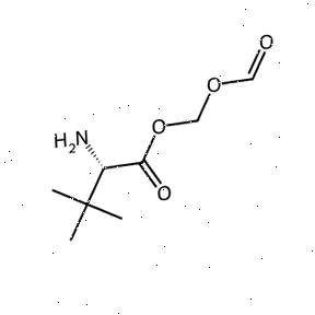 CC(C)(C)[C@H](N)C(=O)OCOC=O